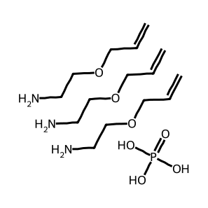 C=CCOCCN.C=CCOCCN.C=CCOCCN.O=P(O)(O)O